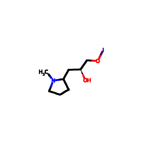 CN1CCCC1C[C@@H](O)COI